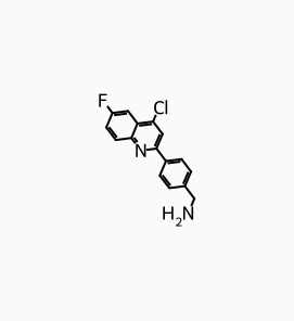 NCc1ccc(-c2cc(Cl)c3cc(F)ccc3n2)cc1